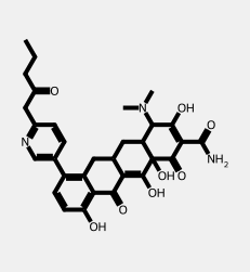 CCCC(=O)Cc1ccc(-c2ccc(O)c3c2CC2CC4C(N(C)C)C(O)=C(C(N)=O)C(=O)C4(O)C(O)=C2C3=O)cn1